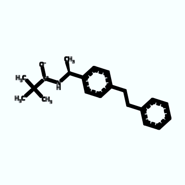 C[C@H](N[S+]([O-])C(C)(C)C)c1ccc(CCc2ccccc2)cc1